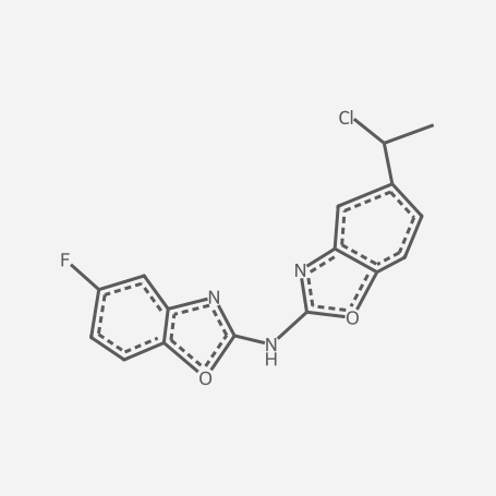 CC(Cl)c1ccc2oc(Nc3nc4cc(F)ccc4o3)nc2c1